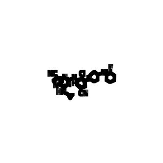 N#Cc1cc(Nc2nc(NC3CC3)c3ncc(C#N)n3n2)c(Cl)c(N2CCC(N[C@@H]3CCCC[C@@H]3F)CC2)c1